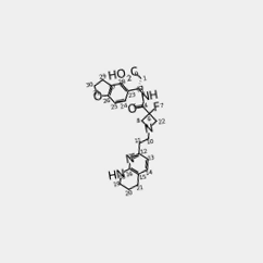 O=C(O)C[C@H](NC(=O)C1(F)CN(CCc2ccc3c(n2)NCCC3)C1)c1ccc2c(c1)CCO2